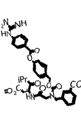 CC(C)C(=O)[C@H](CC(=O)O)NC(=O)CN(Cc1cccc(C(=O)O)c1)C(=O)OCc1ccc(OC(=O)c2ccc(NC(=N)N)cc2)cc1